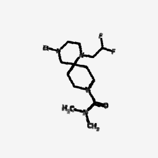 CCN1CCN(CC(F)F)C2(CCN(C(=O)N(C)C)CC2)C1